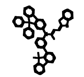 C/C(=C\C=C1/Cc2ccccc2S1)N(c1cccc(-c2cccc3c2C(C)(C)c2ccccc2-3)c1)c1ccc2c(c1)C(c1ccccc1)(c1ccccc1)c1ccccc1-2